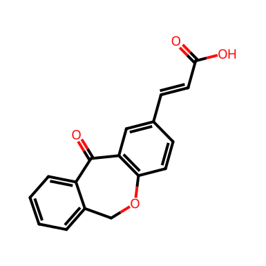 O=C(O)C=Cc1ccc2c(c1)C(=O)c1ccccc1CO2